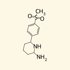 CS(=O)(=O)c1ccc(C2CCCC(N)N2)cc1